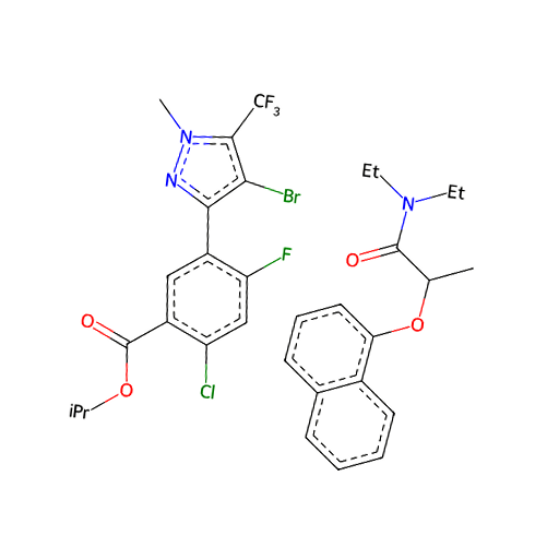 CC(C)OC(=O)c1cc(-c2nn(C)c(C(F)(F)F)c2Br)c(F)cc1Cl.CCN(CC)C(=O)C(C)Oc1cccc2ccccc12